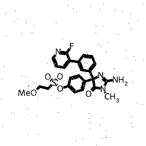 COCCS(=O)(=O)Oc1ccc(C2(c3cccc(-c4cccnc4F)c3)N=C(N)N(C)C2=O)cc1